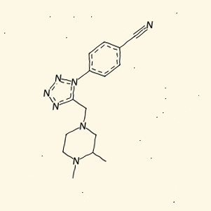 CC1CN(Cc2nnnn2-c2ccc(C#N)cc2)CCN1C